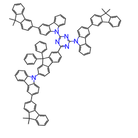 CC1(C)c2ccccc2-c2cc(-c3ccc4c(c3)c3ccccc3n4-c3ccc4c(c3)C(c3ccccc3)(c3ccccc3)c3cc(-c5nc(-n6c7ccccc7c7cc(-c8ccc9c(c8)-c8ccccc8C9(C)C)ccc76)nc(-n6c7ccccc7c7cc(-c8ccc9c(c8)-c8ccccc8C9(C)C)ccc76)n5)ccc3-4)ccc21